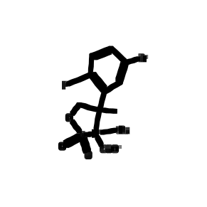 CC(C)(C)[N+]1(C(=O)[O-])C(C)(c2cc(Br)ccc2F)COS1(=O)=O